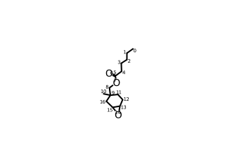 CCCCCC(=O)OCC1(C)CCC2OC2C1